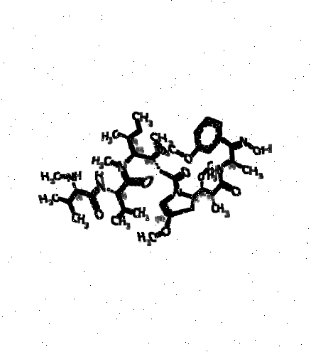 CC[C@H](C)[C@@H]([C@@H](CC(=O)N1C[C@H](OC)C[C@@H]1[C@H](OC)[C@@H](C)C(=O)N[C@H](C)C(=NO)c1cccc(OC)c1)OC)N(C)C(=O)[C@@H](NC(=O)[C@@H](NC)C(C)C)C(C)C